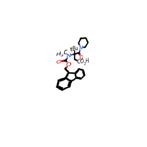 CN(C(=O)OCC1c2ccccc2-c2ccccc21)C(CC(=O)O)(C(=O)N1CCCCC1)C(C)(C)C